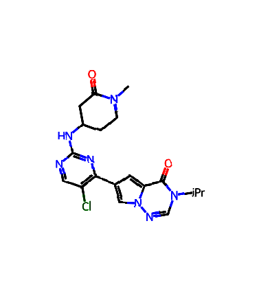 CC(C)n1cnn2cc(-c3nc(NC4CCN(C)C(=O)C4)ncc3Cl)cc2c1=O